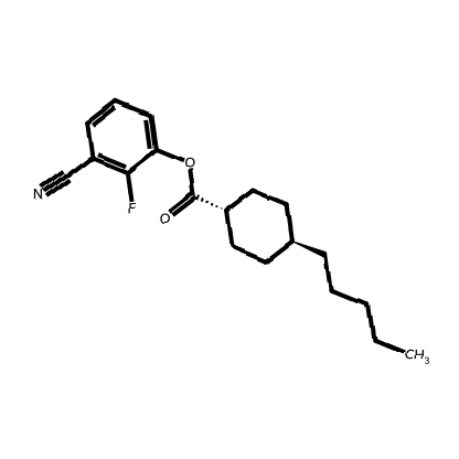 CCCCC[C@H]1CC[C@H](C(=O)Oc2cccc(C#N)c2F)CC1